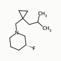 CC(C)CC1(CN2CCC[C@@H](F)C2)CC1